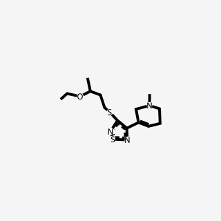 CCOC(C)CCSc1nsnc1C1=CCCN(C)C1